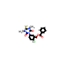 CN1C(=O)N(c2ccc(Cl)c(COC(=O)c3ccccc3)c2)C(=O)N(C)C1S